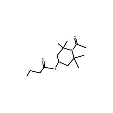 CCCC(=O)OC1CC(C)(C)N(C(C)=O)C(C)(C)C1